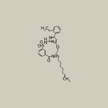 C=CCCCCCC[C@@H]1COc2cc(-c3ccccc3C=C)nc(n2)NS(=O)(=O)c2cccc(c2)C(=O)N1